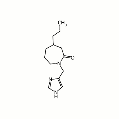 CCCC1CCCN(Cc2c[nH]cn2)C(=O)C1